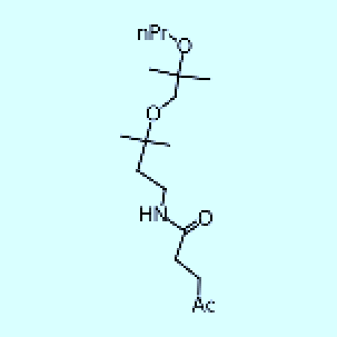 CCCOC(C)(C)COC(C)(C)CCNC(=O)CCC(C)=O